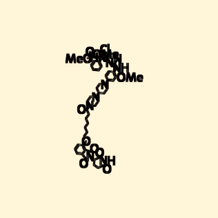 COc1cc(N2CCC(N3CCN(C(=O)CCCCCCOc4cccc5c4C(=O)N(C4CCC(=O)NC4=O)C5=O)CC3)CC2)ccc1Nc1ncc(Cl)c(Nc2ccccc2P(=O)(OC)OC)n1